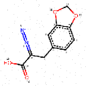 [N-]=[N+]=C(Cc1ccc2c(c1)OCO2)C(=O)O